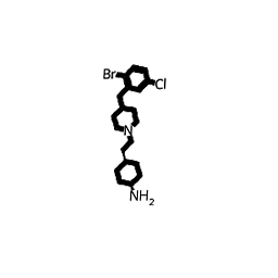 N[C@H]1CC[C@@H](CCN2CCC(Cc3cc(Cl)ccc3Br)CC2)CC1